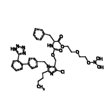 CCCCc1nc(Cl)c(COC(=O)NC(Cc2ccccc2)C(=O)OCCOCCON(O)O)n1Cc1ccc(-c2ccccc2-c2nnn[nH]2)cc1